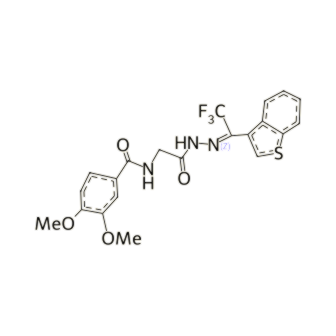 COc1ccc(C(=O)NCC(=O)N/N=C(/c2csc3ccccc23)C(F)(F)F)cc1OC